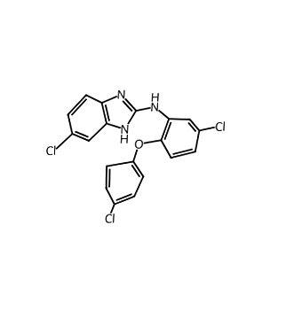 Clc1ccc(Oc2ccc(Cl)cc2Nc2nc3ccc(Cl)cc3[nH]2)cc1